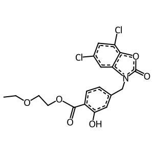 CCOCCOC(=O)c1ccc(Cn2c(=O)oc3c(Cl)cc(Cl)cc32)cc1O